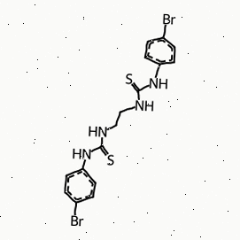 S=C(NCCNC(=S)Nc1ccc(Br)cc1)Nc1ccc(Br)cc1